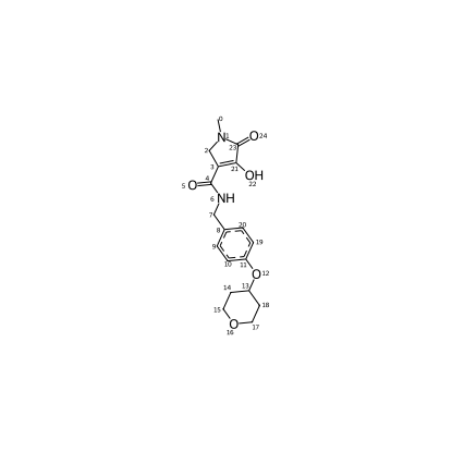 CN1CC(C(=O)NCc2ccc(OC3CCOCC3)cc2)=C(O)C1=O